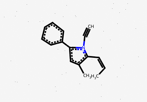 C#Cn1c(-c2ccccc2)cc(C)c1/C=C\C